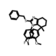 COc1ccc(C2(C)CCCc3nc(SCc4ccccc4)n(-c4ccc(F)cc4)c32)cc1OC